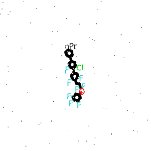 CCCc1ccc(-c2cc(F)c(-c3cc(F)c(/C=C/C(F)(F)Oc4cc(F)c(F)c(F)c4)c(F)c3)c(Cl)c2)cc1